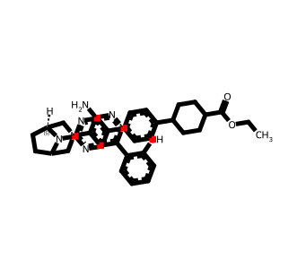 CCOC(=O)C1CCC(c2ccc(-c3cnc(N4C5CC[C@H]4CN(c4cc(-c6ccccc6O)nnc4N)C5)nc3)cc2)CC1